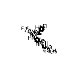 CC(C)(C)OC(=O)NC(CCNC(=O)c1ccc(Nc2nc(NC3(c4ccc(Cl)cc4)CC3)nc(OCC(F)(F)F)n2)cc1)C(=O)O